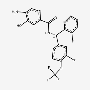 Nc1cnc(C(=O)N[C@@H](c2ccc(OC(F)(F)F)c(F)c2)c2ncccc2F)cc1O